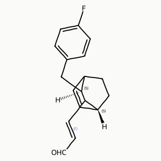 O=C/C=C/C1[C@@H](Cc2ccc(F)cc2)C2C=C[C@H]1CC2